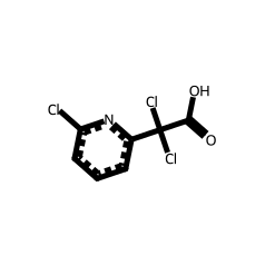 O=C(O)C(Cl)(Cl)c1cccc(Cl)n1